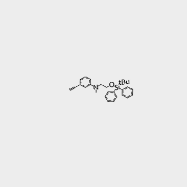 C#Cc1cccc(N(C)CCO[Si](c2ccccc2)(c2ccccc2)C(C)(C)C)c1